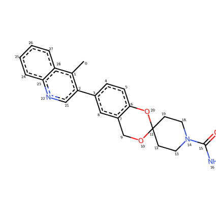 Cc1c(-c2ccc3c(c2)COC2(CCN(C(N)=O)CC2)O3)cnc2ccccc12